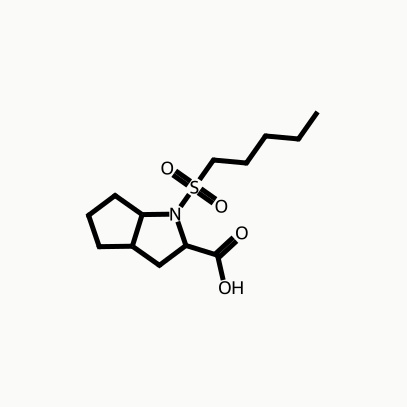 CCCCCS(=O)(=O)N1C(C(=O)O)CC2CCCC21